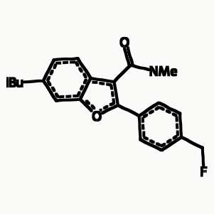 CCC(C)c1ccc2c(C(=O)NC)c(-c3ccc(CF)cc3)oc2c1